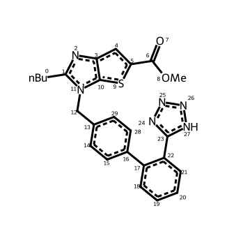 CCCCc1nc2cc(C(=O)OC)sc2n1Cc1ccc(-c2ccccc2-c2nnn[nH]2)cc1